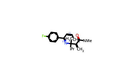 C=C(C(=O)NC)C(C)(/N=C(\C=C/C)c1ccc(F)cc1)C(C)C